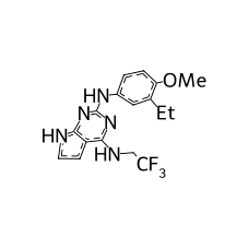 CCc1cc(Nc2nc(NCC(F)(F)F)c3cc[nH]c3n2)ccc1OC